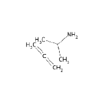 C=C=C.CC(C)N